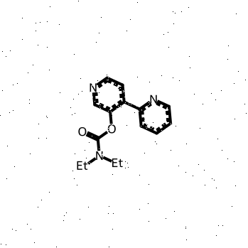 CCN(CC)C(=O)Oc1cnccc1-c1ccccn1